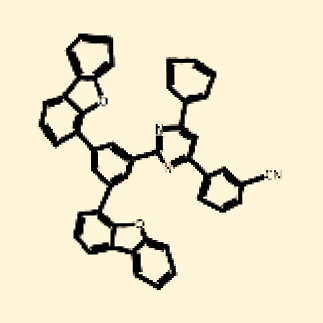 N#Cc1cccc(-c2cc(-c3ccccc3)nc(-c3cc(-c4cccc5c4oc4ccccc45)cc(-c4cccc5c4oc4ccccc45)c3)n2)c1